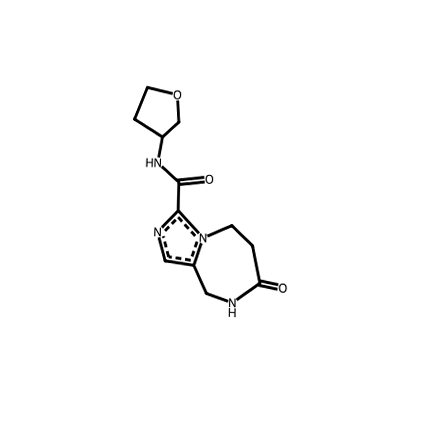 O=C1CCn2c(cnc2C(=O)NC2CCOC2)CN1